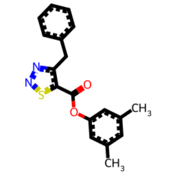 Cc1cc(C)cc(OC(=O)c2snnc2Cc2ccccc2)c1